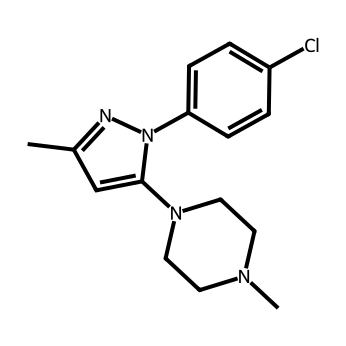 Cc1cc(N2CCN(C)CC2)n(-c2ccc(Cl)cc2)n1